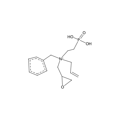 C=CC[N+](CCP(=O)(O)O)(Cc1ccccc1)CC1CO1